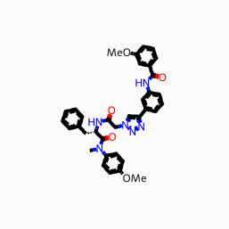 COc1ccc(N(C)C(=O)[C@H](Cc2ccccc2)NC(=O)Cn2cc(-c3cccc(NC(=O)c4cccc(OC)c4)c3)nn2)cc1